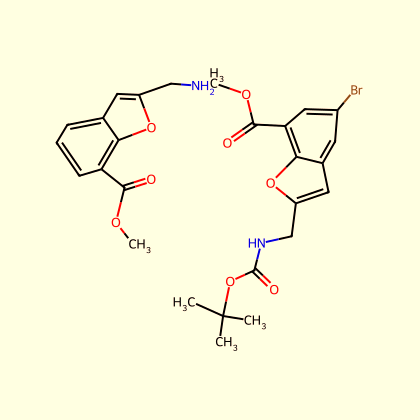 COC(=O)c1cc(Br)cc2cc(CNC(=O)OC(C)(C)C)oc12.COC(=O)c1cccc2cc(CN)oc12